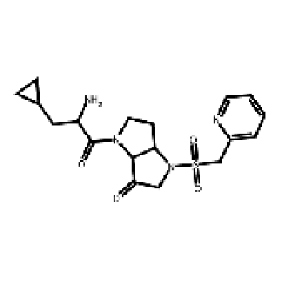 NC(CC1CC1)C(=O)N1CCC2C1C(=O)CN2S(=O)(=O)Cc1ccccn1